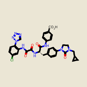 O=C(Nc1cc(Cl)ccc1-n1cnnn1)C(=O)N[C@@H](Cc1ccc(N2CCN(CC3CC3)C2=O)cc1)C(=O)Nc1ccc(C(=O)O)cc1